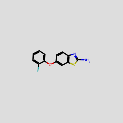 Nc1nc2ccc(Oc3ccccc3F)cc2s1